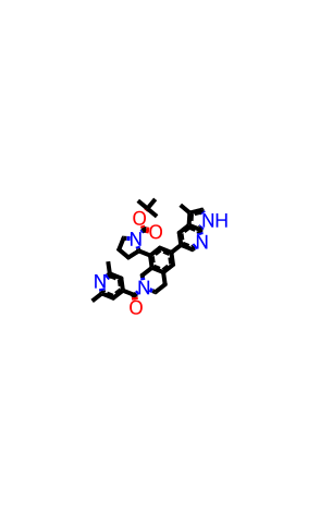 Cc1cc(C(=O)N2CCc3cc(-c4cnc5[nH]cc(C)c5c4)cc(C4CCCN4C(=O)OC(C)(C)C)c3C2)cc(C)n1